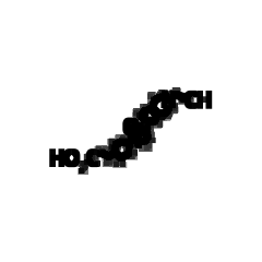 C#CCN1CCc2ccc(N3CCN(C4CCC(CCC(=O)O)CC4)C3=O)cc2CC1